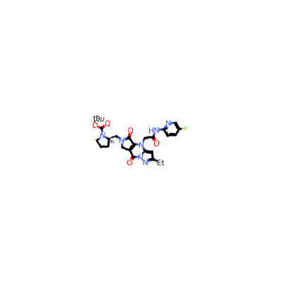 CCc1cc2n(CC(=O)Nc3ccc(F)cn3)c3c(c(=O)n2n1)CN(C[C@H]1CCCN1C(=O)OC(C)(C)C)C3=O